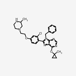 CC1CN(CCOc2ccc(-c3nc4c(OC5(C)CC5)ncnc4n3Cc3ccccc3)c(Cl)c2)CCN1